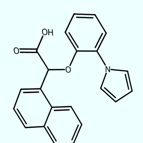 O=C(O)C(Oc1ccccc1-n1cccc1)c1cccc2ccccc12